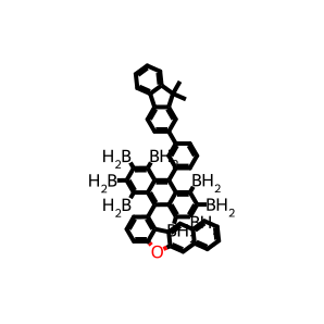 Bc1c(B)c(B)c2c(-c3cccc4oc5cc6ccccc6cc5c34)c3c(B)c(B)c(B)c(B)c3c(-c3cccc(-c4ccc5c(c4)C(C)(C)c4ccccc4-5)c3)c2c1B